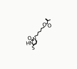 C=C(C)C(=O)OCCCCCCn1ccc(=S)[nH]c1=O